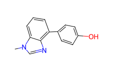 Cn1cnc2c(-c3ccc(O)cc3)cccc21